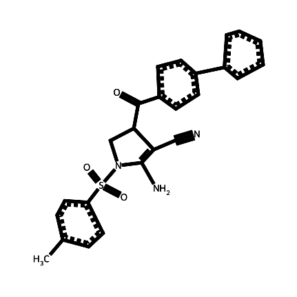 Cc1ccc(S(=O)(=O)N2CC(C(=O)c3ccc(-c4ccccc4)cc3)C(C#N)=C2N)cc1